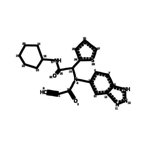 C#CC(=O)N(c1ccc2[nH]nnc2c1)C(C(=O)NC1CCCCC1)c1cccs1